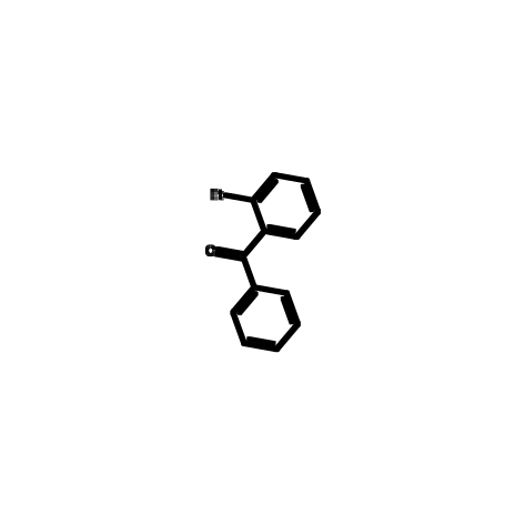 [CH2]Cc1ccccc1C(=O)c1ccccc1